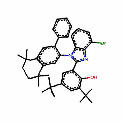 CC(C)(C)c1cc(-c2nc3c(Br)cccc3n2-c2cc3c(cc2-c2ccccc2)C(C)(C)CCC3(C)C)c(O)c(C(C)(C)C)c1